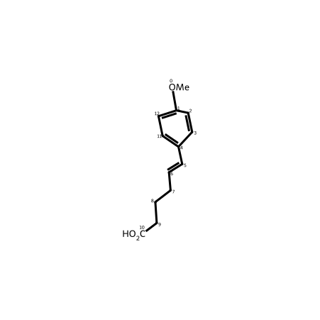 COc1ccc(/C=C/CCCC(=O)O)cc1